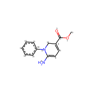 COC(=O)C1=CC=C(N)N(c2ccccc2)C1